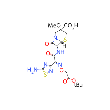 COC1(C(=O)O)CS[C@@H]2C(NC(=O)C(=NOCC(=O)OC(C)(C)C)c3nsc(N)n3)C(=O)N2C1